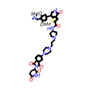 COc1cc(-c2cn(C)c(=O)c3cc(C(=O)NC4CCN(CCCN5CCN(c6ccc7c(c6)C(=O)N(C6CCC(=O)NC6=O)C7=O)CC5)CC4)sc23)cc(OC)c1CN(C)C